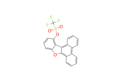 O=S(=O)(Oc1cccc2oc3c4ccccc4c4ccccc4c3c12)C(F)(F)F